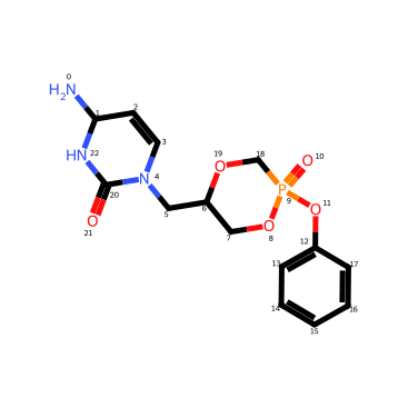 NC1C=CN(CC2COP(=O)(Oc3ccccc3)CO2)C(=O)N1